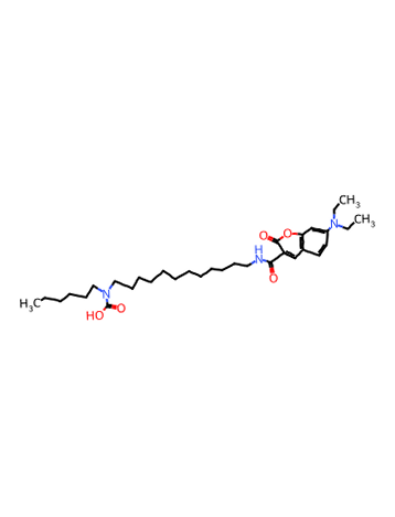 CCCCCCN(CCCCCCCCCCCCNC(=O)c1cc2ccc(N(CC)CC)cc2oc1=O)C(=O)O